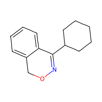 c1ccc2c(c1)CON=C2C1CCCCC1